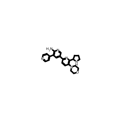 Nc1ncc(-c2ccc(N3CCOCC3)c(C3CCCN3)n2)cc1-c1ccncc1